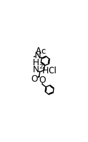 CC(=O)N(C)c1cccc(CC(N)C(=O)OCc2ccccc2)c1.Cl